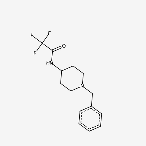 O=C(NC1CCN(Cc2ccccc2)CC1)C(F)(F)F